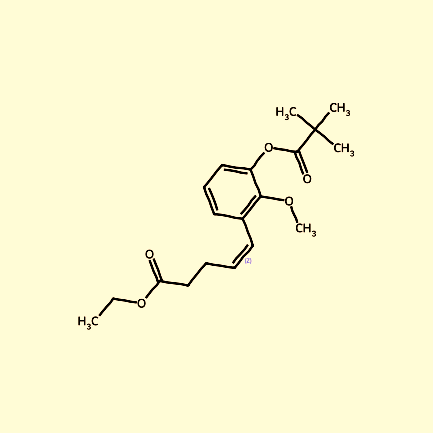 CCOC(=O)CC/C=C\c1cccc(OC(=O)C(C)(C)C)c1OC